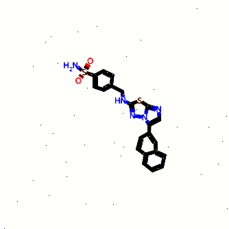 NS(=O)(=O)c1ccc(CNc2nn3c(-c4ccc5ccccc5c4)cnc3s2)cc1